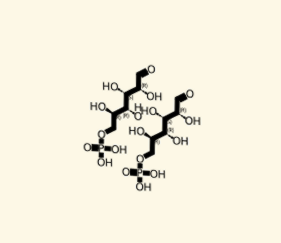 O=C[C@H](O)[C@@H](O)[C@H](O)[C@H](O)COP(=O)(O)O.O=C[C@H](O)[C@@H](O)[C@H](O)[C@H](O)COP(=O)(O)O